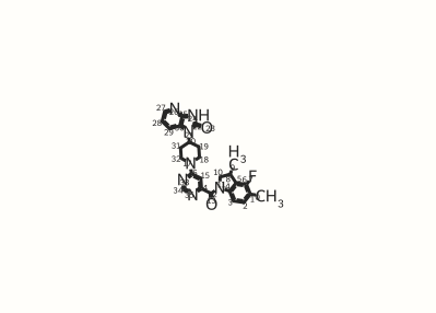 Cc1ccc2c(c1F)C(C)CN2C(=O)c1cc(N2CCC(n3c(=O)[nH]c4ncccc43)CC2)ncn1